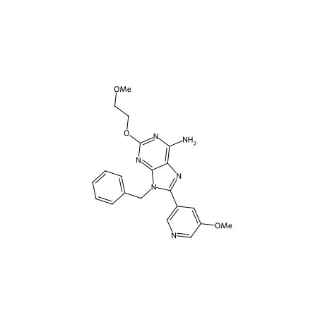 COCCOc1nc(N)c2nc(-c3cncc(OC)c3)n(Cc3ccccc3)c2n1